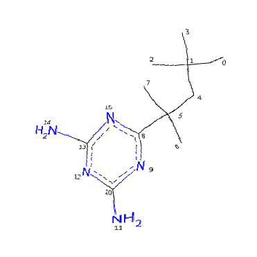 CC(C)(C)CC(C)(C)c1nc(N)nc(N)n1